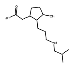 CC(C)CNCCCC1C(O)CCC1CC(=O)O